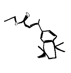 CCOC(=O)C=C(C)c1ccc2c(c1)C(C)(C)CCC2(C)C